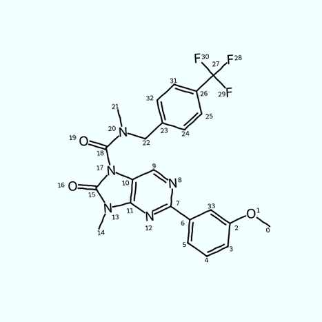 COc1cccc(-c2ncc3c(n2)n(C)c(=O)n3C(=O)N(C)Cc2ccc(C(F)(F)F)cc2)c1